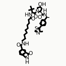 Cc1ncsc1-c1ccc([C@H](C)NC(=O)[C@@H]2C[C@@H](O)CN2C(=O)[C@@H](NC(=O)CCCCCCCCCNC(=O)c2ccc3c(c2)C(=O)NC3)C(C)(C)C)cc1